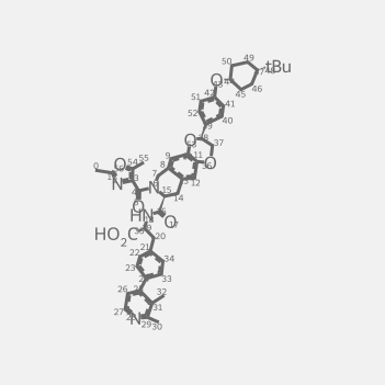 Cc1nc(C(=O)N2Cc3cc4c(cc3C[C@H]2C(=O)N[C@@H](Cc2ccc(-c3ccnc(C)c3C)cc2)C(=O)O)OC[C@H](c2ccc(O[C@H]3CC[C@@H](C(C)(C)C)CC3)cc2)O4)c(C)o1